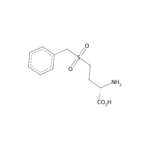 N[C@@H](CCS(=O)(=O)Cc1ccccc1)C(=O)O